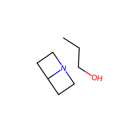 C1CN2CCC12.CCCO